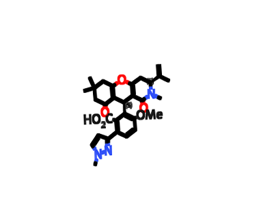 C=C(C)[C@@H]1CC2=C(C(=O)N1C)[C@@H](c1c(OC)ccc(-c3ccn(C)n3)c1C(=O)O)C1=C(CC(C)(C)CC1=O)O2